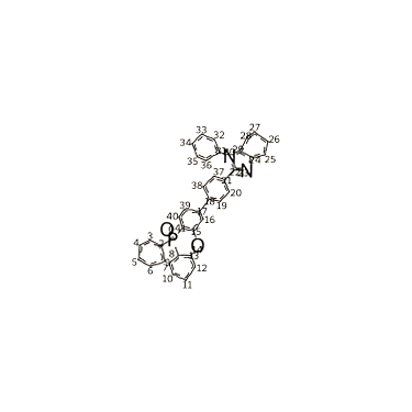 O=P1(c2ccccc2)c2ccccc2Oc2cc(-c3ccc(-c4nc5ccccc5n4-c4ccccc4)cc3)ccc21